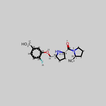 N#C[C@@H]1CCCN1C(=O)[C@@H]1CC[C@H](COc2cc(C(=O)O)ccc2F)N1